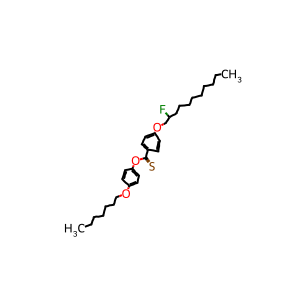 CCCCCCCCCC(F)COc1ccc(C(=S)Oc2ccc(OCCCCCCC)cc2)cc1